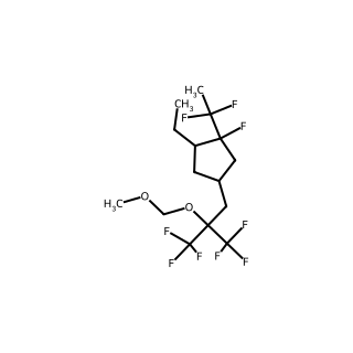 CCC1CC(CC(OCOC)(C(F)(F)F)C(F)(F)F)CC1(F)C(C)(F)F